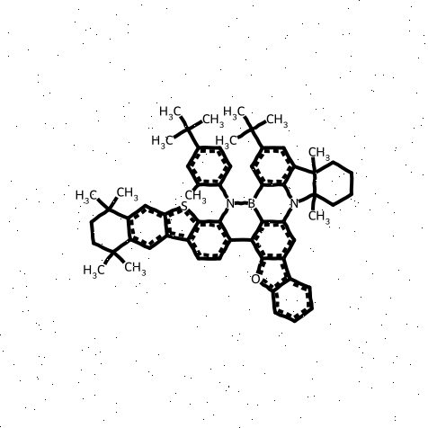 Cc1cc(C(C)(C)C)ccc1N1B2c3cc(C(C)(C)C)cc4c3N(c3cc5c(oc6ccccc65)c(c32)-c2ccc3c(sc5cc6c(cc53)C(C)(C)CCC6(C)C)c21)C1(C)CCCCC41C